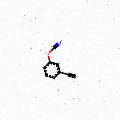 C#Cc1cccc(OC#N)c1